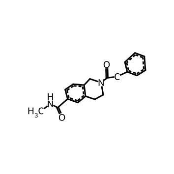 CNC(=O)c1ccc2c(c1)CCN(C(=O)Cc1ccccc1)C2